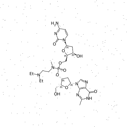 CCN(CC)CCN(C)P(=O)(OC[C@H]1O[C@@H](n2ccc(N)nc2=O)C[C@H]1O)O[C@@H]1C[C@H](n2cnc3c(=O)[nH]c(C)nc32)O[C@@H]1CO